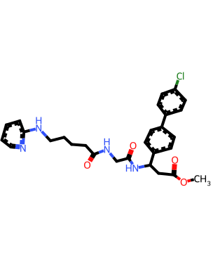 COC(=O)CC(NC(=O)CNC(=O)CCCCNc1ccccn1)c1ccc(-c2ccc(Cl)cc2)cc1